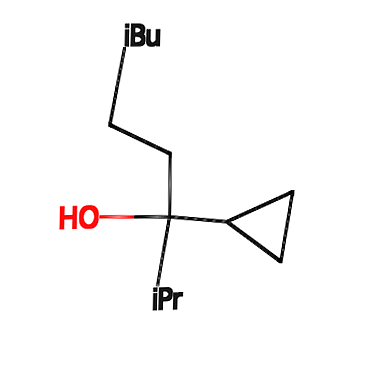 CCC(C)CCC(O)(C(C)C)C1CC1